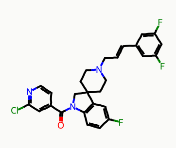 O=C(c1ccnc(Cl)c1)N1CC2(CCN(C/C=C/c3cc(F)cc(F)c3)CC2)c2cc(F)ccc21